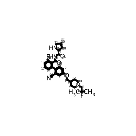 CC(C)(F)CN1CCC(COc2ccc(-c3cccc(F)c3C(=O)NC(=O)[C@@H]3C[C@H](F)CN3)c(C#N)c2)CC1